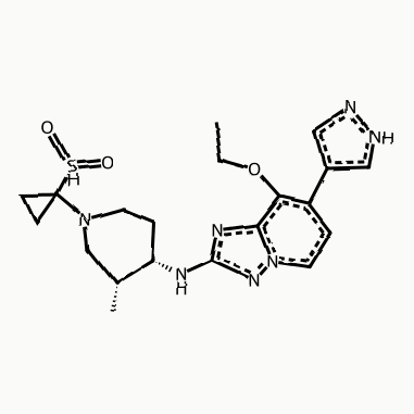 CCOc1c(-c2cn[nH]c2)ccn2nc(N[C@H]3CCN(C4([SH](=O)=O)CC4)C[C@H]3C)nc12